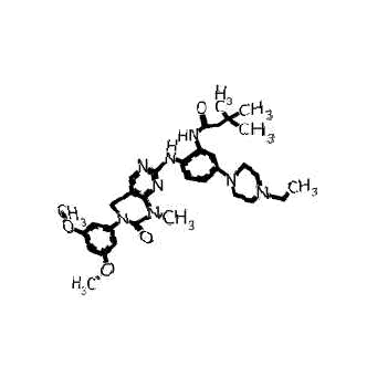 CCN1CCN(c2ccc(Nc3ncc4c(n3)N(C)C(=O)N(c3cc(OC)cc(OC)c3)C4)c(NC(=O)CC(C)(C)C)c2)CC1